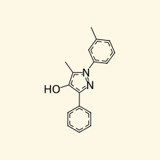 Cc1cccc(-n2nc(-c3ccccc3)c(O)c2C)c1